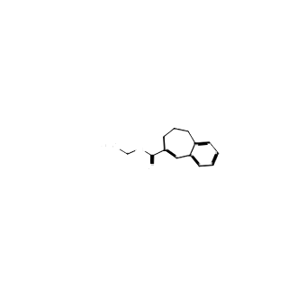 CCOC(=O)C1=Cc2ccccc2CCC1